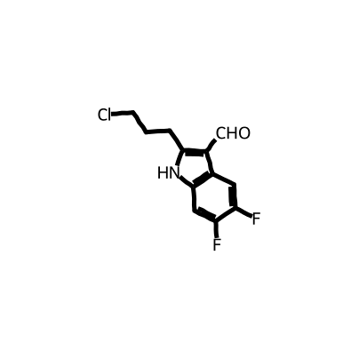 O=Cc1c(CCCCl)[nH]c2cc(F)c(F)cc12